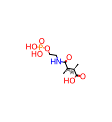 C[C@@H](C(=O)O)[C@@H](C)C(=O)NCCOP(=O)(O)O